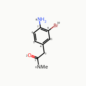 CNC(=O)Cc1ccc(N)c(Br)c1